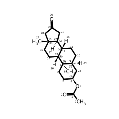 CC(=O)O[C@H]1CC[C@]2(C)[C@@H](CC[C@@H]3[C@H]2CC[C@]2(C)CC(=O)C[C@@H]32)C1